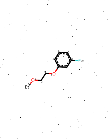 CCOCCOc1cc[c]c(F)c1